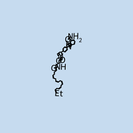 CC/C=C\C/C=C\C/C=C\C/C=C\C/C=C\CCCC(=O)NCCOC(=O)N1CCCC(c2ccc(-n3cc4cccc(C(N)=O)c4n3)cc2)C1